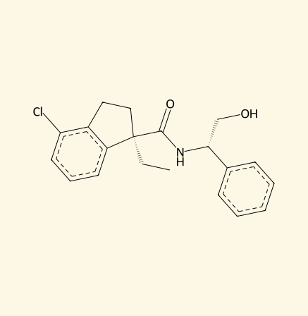 CC[C@@]1(C(=O)N[C@H](CO)c2ccccc2)CCc2c(Cl)cccc21